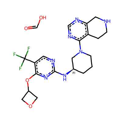 FC(F)(F)c1cnc(N[C@@H]2CCCN(c3ncnc4c3CCNC4)C2)nc1OC1COC1.O=CO